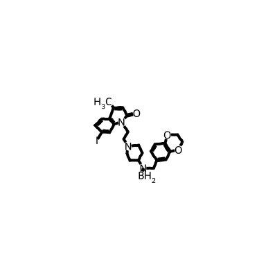 BN(Cc1ccc2c(c1)OCCO2)C1CCN(CCn2c(=O)cc(C)c3ccc(I)cc32)CC1